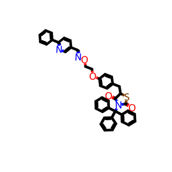 O=C1SC(Cc2ccc(OCCON=Cc3ccc(-c4ccccc4)nc3)cc2)C(=O)N1C(c1ccccc1)(c1ccccc1)c1ccccc1